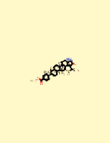 COC(=O)c1ccc(C2=CC[C@@]3(C)C(CC[C@]4(C)C3CCC3C5=C(C(C)C)C(=O)C[C@]5(N)CC[C@]34C)C2(C)C)cc1